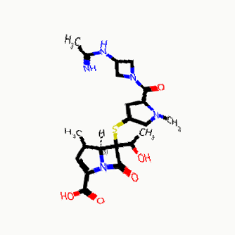 CC(=N)NC1CN(C(=O)C2CC(SC3(C(C)O)C(=O)N4C(C(=O)O)=CC(C)[C@H]43)CN2C)C1